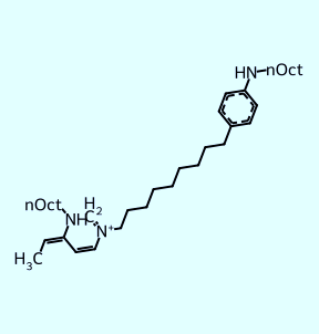 C=[N+](/C=C\C(=C/C)NCCCCCCCC)CCCCCCCCCc1ccc(NCCCCCCCC)cc1